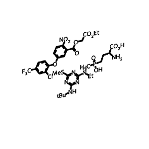 CCNc1nc(NC(C)(C)C)nc(SC)n1.CCOC(=O)COC(=O)c1cc(Oc2ccc(C(F)(F)F)cc2Cl)ccc1[N+](=O)[O-].CP(=O)(O)CCC(N)C(=O)O